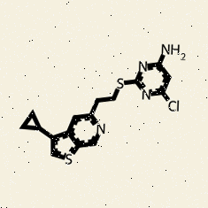 Nc1cc(Cl)nc(SCCc2cc3c(C4CC4)csc3cn2)n1